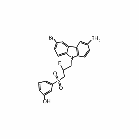 Bc1ccc2c(c1)c1cc(Br)ccc1n2CC(F)CS(=O)(=O)c1cccc(O)c1